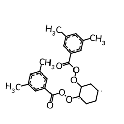 Cc1cc(C)cc(C(=O)OO[C]2CC[CH]CC2OOC(=O)c2cc(C)cc(C)c2)c1